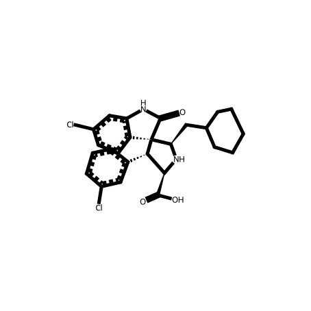 O=C(O)[C@@H]1N[C@H](CC2CCCCC2)[C@]2(C(=O)Nc3cc(Cl)ccc32)[C@H]1c1cccc(Cl)c1